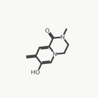 C=C1C=C2C(=O)N(C)CCN2C=C1O